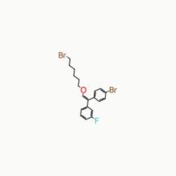 Fc1cccc(C(=COCCCCCCBr)c2ccc(Br)cc2)c1